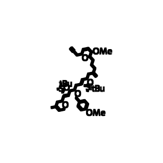 C#CCC1C=CC(OC)C(CCCC(=C)CC(C=CCC(OCc2ccc(OC)cc2)C(C=CC2CC(C)=CCO2)O[Si](C)(C)C(C)(C)C)O[Si](C)(C)C(C)(C)C)O1